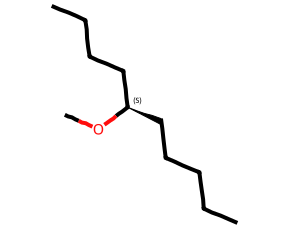 CCCCC[C@H](CCCC)OC